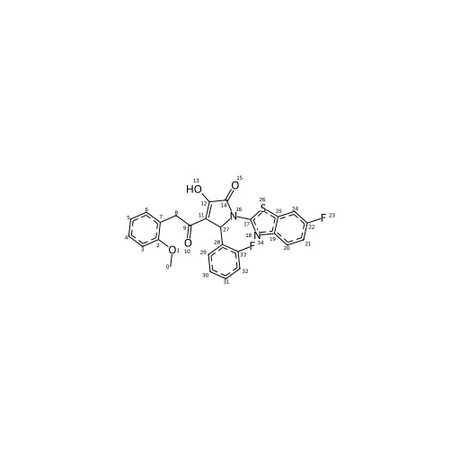 COc1ccccc1CC(=O)C1=C(O)C(=O)N(c2nc3ccc(F)cc3s2)C1c1ccccc1F